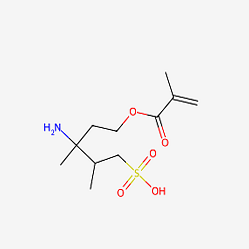 C=C(C)C(=O)OCCC(C)(N)C(C)CS(=O)(=O)O